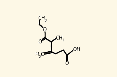 C=C(CCC(=O)O)C(C)C(=O)OCC